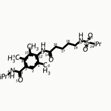 Cc1cc(C(=O)NC(C)C)c(C)c(C)c1NC(=O)CCCCNS(=O)(=O)C(C)C